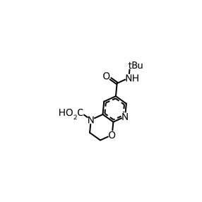 CC(C)(C)NC(=O)c1cnc2c(c1)N(C(=O)O)CCO2